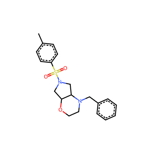 Cc1ccc(S(=O)(=O)N2CC3OCCN(Cc4ccccc4)C3C2)cc1